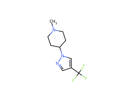 CN1CCC(n2cc(C(F)(F)F)cn2)CC1